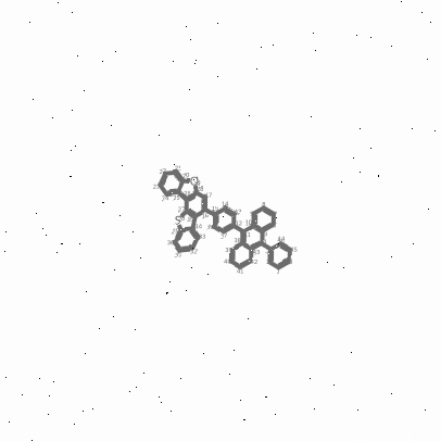 c1ccc(-c2c3ccccc3c(-c3ccc(-c4cc5oc6ccccc6c5c5sc6ccccc6c45)cc3)c3ccccc23)cc1